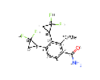 COc1c(C(N)=O)ccc(C2CC2(F)F)c1C1CC1(F)F